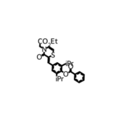 CCOC(=O)CN1C=CS/C(=C\c2cc(C(C)C)c(OC(=O)c3ccccc3)c(C(C)C)c2)C1=O